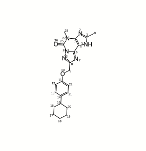 Cc1nc2c([nH]1)c1nc(COc3ccc(C4CCCCC4)cc3)nn1c(=O)n2C